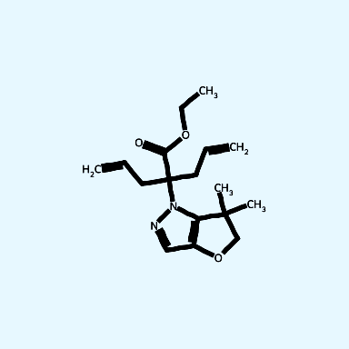 C=CCC(CC=C)(C(=O)OCC)n1ncc2c1C(C)(C)CO2